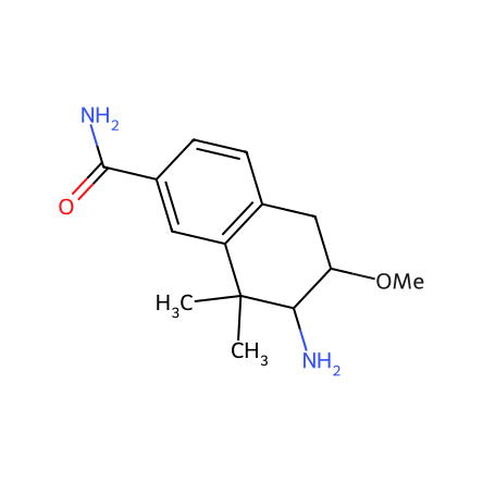 COC1Cc2ccc(C(N)=O)cc2C(C)(C)C1N